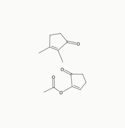 CC(=O)OC1=CCCC1=O.CC1=C(C)C(=O)CC1